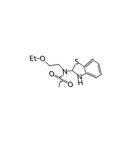 CCOCCN(C1Nc2ccccc2S1)S(C)(=O)=O